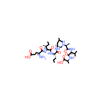 CCC[C@H](NC(=O)[C@@H](NC(=O)[C@@H](N)CCC(=O)O)[C@@H](C)CC)C(=O)N[C@H](CN[C@@H](C)C(=O)N[C@H](C(=O)NC(C)C(=O)O)C(C)C)CC(C)C